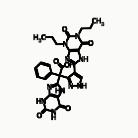 CCCn1c(=O)c2[nH]c(-c3c[nH]nc3C(C(=O)O)(c3ccccc3)c3nc4[nH]c(=O)[nH]c(=O)c4[nH]3)nc2n(CCC)c1=O